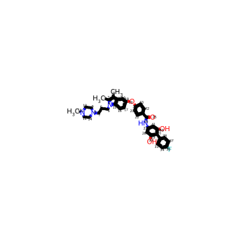 Cc1c(C)n(CCCN2CCN(C)CC2)c2ccc(Oc3ccc(C(=O)Nc4cc(O)c(-c5ccc(F)cc5)c(O)c4)cc3)cc12